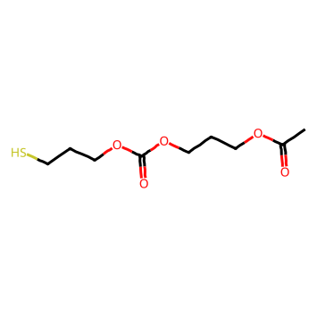 CC(=O)OCCCOC(=O)OCCCS